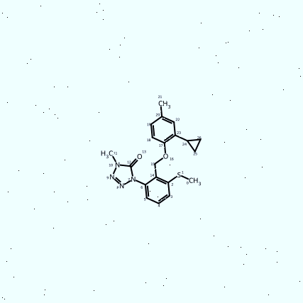 CSc1cccc(-n2nnn(C)c2=O)c1COc1ccc(C)cc1C1CC1